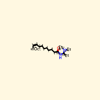 CCCCCCCC/C=C\CCCCCCCC(=O)NC(CC)N(CC)CC